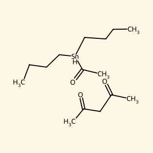 CC(=O)CC(C)=O.CCC[CH2][SnH]([CH2]CCC)[C](C)=O